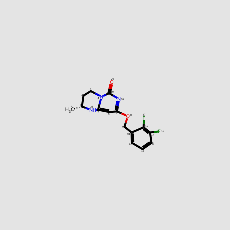 C[C@@H]1CCn2c(cc(OCc3cccc(F)c3F)nc2=O)N1